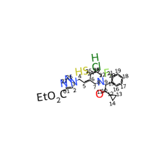 CCOC(=O)c1cn(CC=C2CN(C(C(=O)C3CC3)c3ccccc3F)CCC2S)nn1.Cl